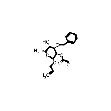 C=CCO[C@@H]1O[C@@H](C)[C@H](O)[C@@H](OCc2ccccc2)[C@H]1OC(=O)CCl